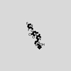 Cc1cnc(-c2ccnc(C3(O)CCC3)n2)cc1-n1c(C)cc(OCc2ncc(F)cc2F)c(Cl)c1=O